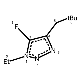 CCn1nnc(CC(C)(C)C)c1F